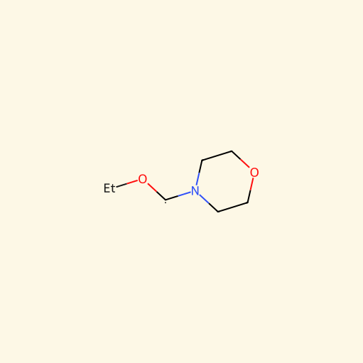 CCO[CH]N1CCOCC1